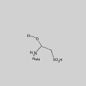 CCOC(N)CS(=O)(=O)O.[NaH]